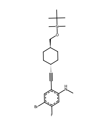 CNc1cc(F)c(Br)cc1C#C[C@H]1CC[C@H](CO[Si](C)(C)C(C)(C)C)CC1